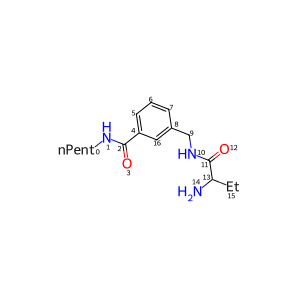 CCCCCNC(=O)c1cccc(CNC(=O)C(N)CC)c1